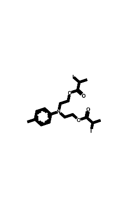 Cc1ccc(N(CCOC(=O)C(C)I)CCOC(=O)C(C)I)cc1